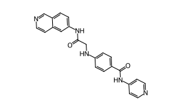 O=C(CNc1ccc(C(=O)Nc2ccncc2)cc1)Nc1ccc2cnccc2c1